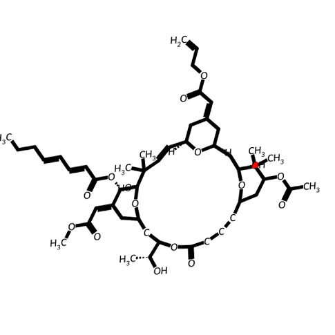 C=CCOC(=O)/C=C1/C[C@H]2C[C@]3(O)OC(CCCC(=O)OC([C@@H](C)O)CC4C/C(=C\C(=O)OC)[C@H](OC(=O)/C=C/C=C/CCC)C(O)(O4)C(C)(C)/C=C/[C@@H](C1)O2)CC(OC(C)=O)C3(C)C